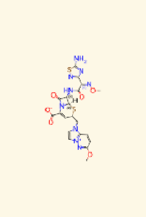 CO/N=C(\C(=O)N[C@@H]1C(=O)N2C(C(=O)[O-])=CC(Cn3cc[n+]4nc(OC)ccc34)S[C@H]12)c1nsc(N)n1